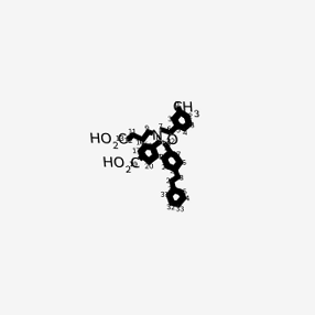 Cc1cccc(C(CN(CCCCC(=O)O)Cc2ccc(C(=O)O)cc2)OCc2ccc(CCc3ccccc3)cc2)c1